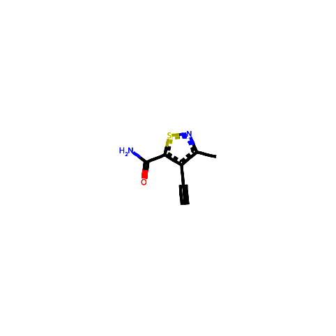 C#Cc1c(C)nsc1C(N)=O